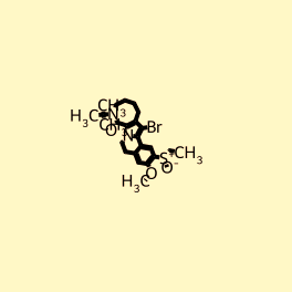 CC[S+]([O-])c1cc2c(cc1OC)CCn1c3c(c(Br)c1-2)CCCCN(C(C)(C)C)C3=O